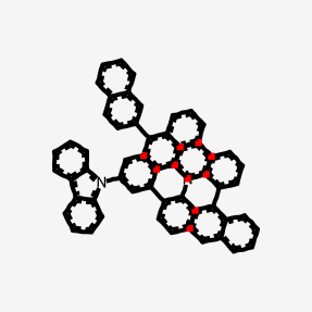 c1ccc(-c2ccc(-n3c4ccccc4c4ccccc43)cc2-c2ccccc2N(c2ccccc2-c2cccc3ccccc23)c2ccc(-c3ccc4ccccc4c3)c3ccccc23)cc1